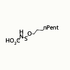 CCCCCCCCOSNC(=O)O